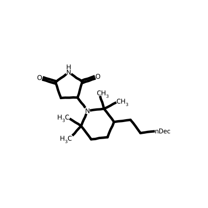 CCCCCCCCCCCCC1CCC(C)(C)N(C2CC(=O)NC2=O)C1(C)C